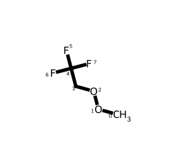 COOCC(F)(F)F